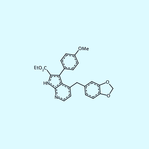 CCOC(=O)c1[nH]c2nccc(Cc3ccc4c(c3)OCO4)c2c1-c1ccc(OC)cc1